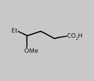 [CH2]CC(CCC(=O)O)OC